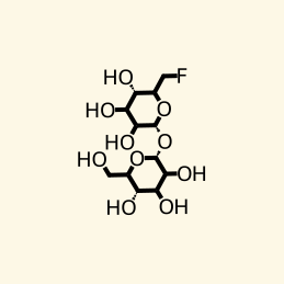 OCC1O[C@H](O[C@H]2OC(CF)[C@@H](O)C(O)C2O)C(O)C(O)[C@@H]1O